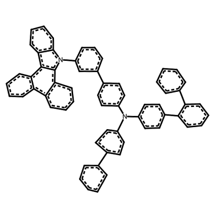 c1ccc(-c2ccc(N(c3ccc(-c4cccc(-n5c6ccccc6c6c7ccccc7c7ccccc7c65)c4)cc3)c3ccc(-c4ccccc4-c4ccccc4)cc3)cc2)cc1